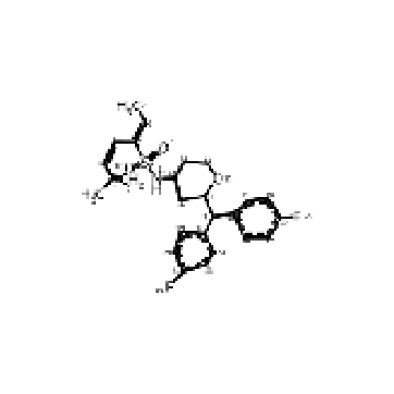 C=C(C)/C=C\C(=C/C)S(=O)(=O)NC1CCOC(C(c2ccc(F)cc2)c2ccc(F)cc2)C1